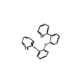 c1ccc(-c2ccccc2Sc2ccccc2-c2ccccn2)nc1